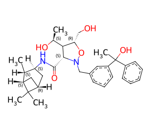 C[C@@H]1[C@@H](NC(=O)[C@@H]2C([C@H](C)O)[C@H](CO)ON2Cc2cccc(C(C)(O)c3ccccc3)c2)C[C@H]2C[C@@H]1C2(C)C